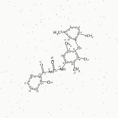 Cc1ccc(C)c(Oc2c(C)cc(NC(=O)NC(=O)c3ccccc3Cl)c(C)c2Cl)c1